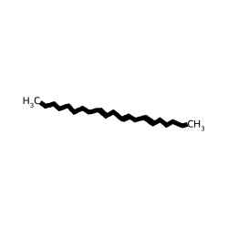 CCCCCC=CCC=CCC=CCCCCCCCC